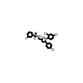 O=S(=O)(NCC1=NN(c2ccc(Cl)cc2Cl)C(c2ccc(Cl)cc2)C1)c1cccc(F)c1